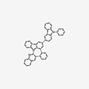 c1ccc(-n2c3ccccc3c3cc(-c4cc5c6c(c4)c4ccccc4n6-c4nc6ccccc6cc4-c4ccccc4-5)ccc32)cc1